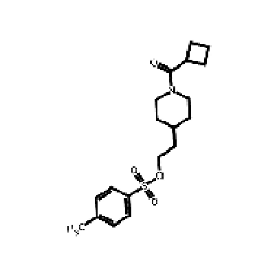 Cc1ccc(S(=O)(=O)OCCC2CCN(C(=O)C3CCC3)CC2)cc1